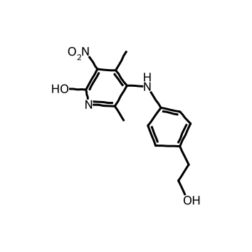 Cc1nc(O)c([N+](=O)[O-])c(C)c1Nc1ccc(CCO)cc1